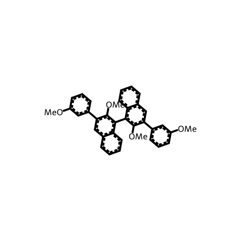 COc1cccc(-c2cc3ccccc3c(-c3c(OC)c(-c4cccc(OC)c4)cc4ccccc34)c2OC)c1